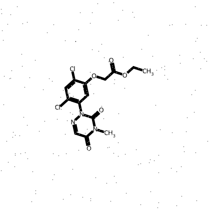 CCOC(=O)COc1cc(-n2ncc(=O)n(C)c2=O)c(Cl)cc1Cl